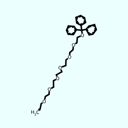 C=CCOCCOCCOCCOCCOCCOCCOC(c1ccccc1)(c1ccccc1)c1ccccc1